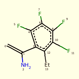 C=C(N)c1c(F)c(F)c(F)c(F)c1CC